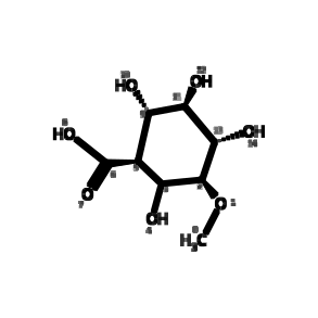 CO[C@H]1C(O)[C@@H](C(=O)O)[C@H](O)[C@@H](O)[C@@H]1O